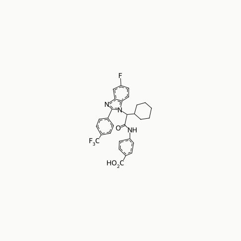 O=C(O)c1ccc(NC(=O)C(C2CCCCC2)n2c(-c3ccc(C(F)(F)F)cc3)nc3cc(F)ccc32)cc1